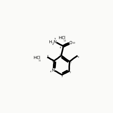 Cc1ccnc(C)c1C(N)=O.Cl.Cl